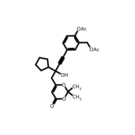 CC(=O)OCc1cc(C#CC(O)(CC2=CC(=O)OC(C)(C)O2)C2CCCC2)ccc1OC(C)=O